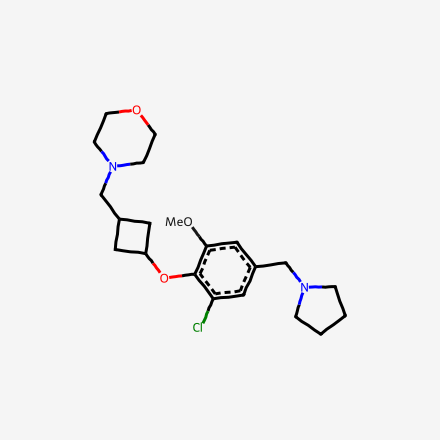 COc1cc(CN2CCCC2)cc(Cl)c1OC1CC(CN2CCOCC2)C1